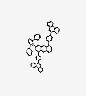 C1=CCC(c2ccc(-c3ccccc3)n2-c2cc(-c3ccc(-c4cc5ccccc5c5ccccc45)cc3)c3cc4cccc(-c5ccc(-c6cc7ccccc7c7ccccc67)cc5)c4cc3c2)C=C1